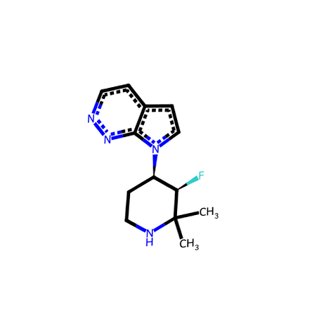 CC1(C)NCC[C@@H](n2ccc3ccnnc32)[C@H]1F